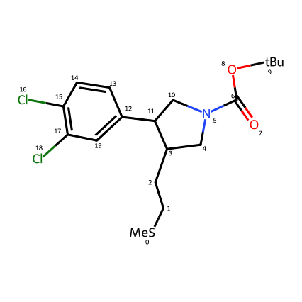 CSCCC1CN(C(=O)OC(C)(C)C)CC1c1ccc(Cl)c(Cl)c1